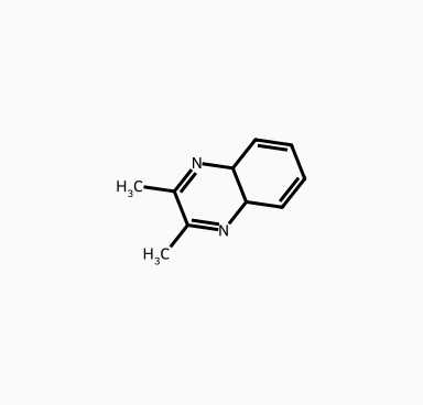 CC1=NC2C=CC=CC2N=C1C